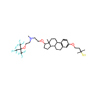 CN(CCOC1CCC2C3CCc4cc(OCCC(C)(C)S)ccc4C3CCC12C)CCOC(C(F)(F)F)(C(F)(F)F)C(F)(F)F